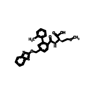 CSCC[C@H](NC(=O)c1ccc(COc2nc3ccccc3s2)cc1-c1ccccc1C)C(=O)O